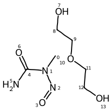 CN(N=O)C(N)=O.OCCOCCO